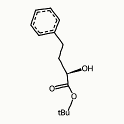 CC(C)(C)OC(=O)[C@H](O)CCc1ccccc1